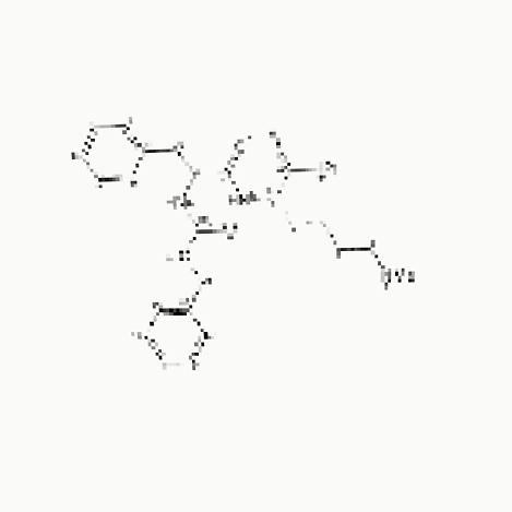 CNCCCC[C@H](NC(=O)C(Cc1ccccc1)NC(=O)OCc1ccccc1)C(=O)C(C)C